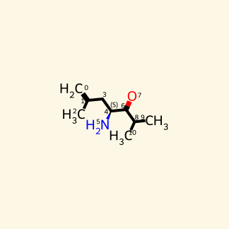 C=C(C)C[C@H](N)C(=O)C(C)C